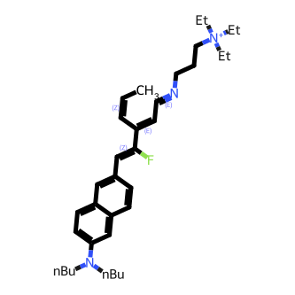 C\C=C/C(=C\C=N\CCC[N+](CC)(CC)CC)C(/F)=C/c1ccc2cc(N(CCCC)CCCC)ccc2c1